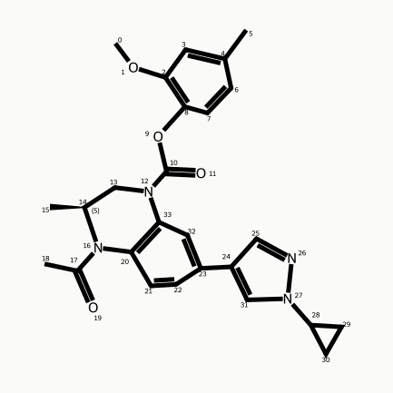 COc1cc(C)ccc1OC(=O)N1C[C@H](C)N(C(C)=O)c2ccc(-c3cnn(C4CC4)c3)cc21